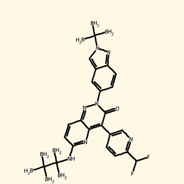 BC(B)(B)n1cc2cc(-n3nc4ccc(NC(B)(B)C(B)(B)B)nc4c(-c4ccc(C(F)F)nc4)c3=O)ccc2n1